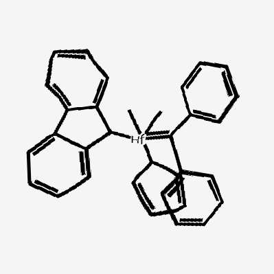 [CH3][Hf]([CH3])(=[C](c1ccccc1)c1ccccc1)([CH]1C=CC=C1)[CH]1c2ccccc2-c2ccccc21